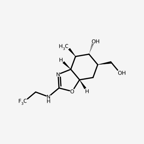 C[C@H]1[C@H](O)[C@@H](CO)C[C@@H]2OC(NCC(F)(F)F)=N[C@H]12